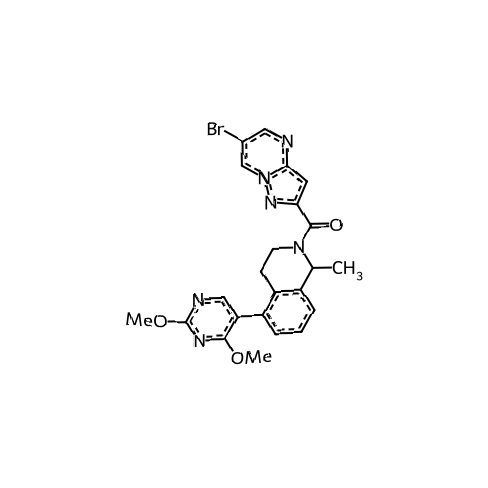 COc1ncc(-c2cccc3c2CCN(C(=O)c2cc4ncc(Br)cn4n2)C3C)c(OC)n1